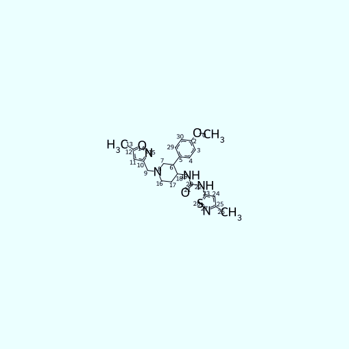 COc1ccc(C2CN(Cc3cc(C)on3)CCC2NC(=O)Nc2cc(C)ns2)cc1